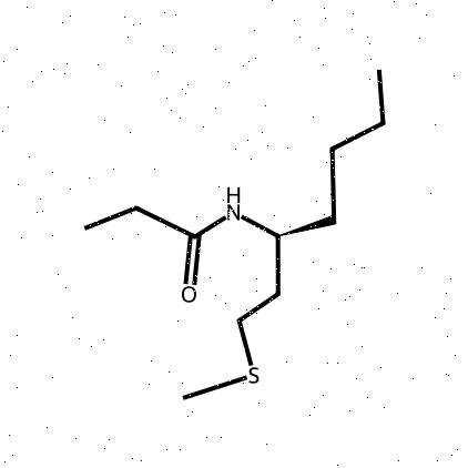 CCCC[C@@H](CCSC)NC(=O)CC